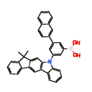 CC1(C)c2ccccc2-c2cc3c4ccccc4n(-c4cc(B(O)O)cc(-c5ccc6ccccc6c5)c4)c3cc21